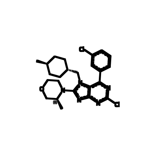 C[C@H]1COCCN1c1nc2nc(Cl)nc(-c3cccc(Cl)c3)c2n1C[C@H]1CC[C@H](C)CC1